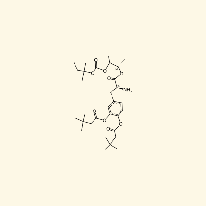 CCC(C)(C)OC(=O)OC(C)[C@H](C)OC(=O)[C@@H](N)Cc1ccc(OC(=O)CC(C)(C)C)c(OC(=O)CC(C)(C)C)c1